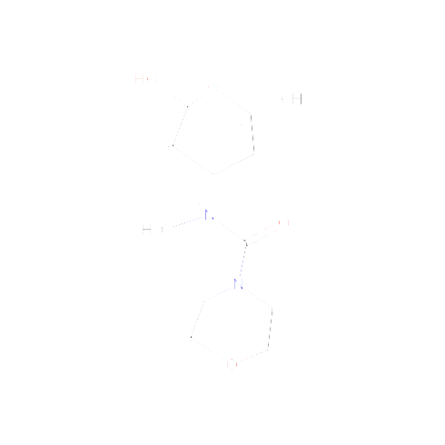 C[C@@H]1C[C@H](N(C)C(=O)N2CCOCC2)CC(O)O1